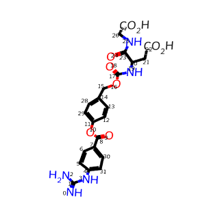 N=C(N)Nc1ccc(C(=O)Oc2ccc(COC(=O)NC(CC(=O)O)C(=O)NCC(=O)O)cc2)cc1